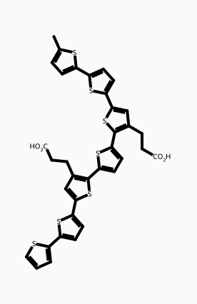 Cc1ccc(-c2ccc(-c3cc(CCC(=O)O)c(-c4ccc(-c5sc(-c6ccc(-c7cccs7)s6)cc5CCC(=O)O)s4)s3)s2)s1